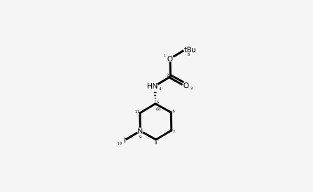 CC(C)(C)OC(=O)N[C@@H]1CCCN(I)C1